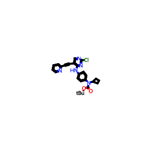 CC(C)(C)OC(=O)N(c1ccc(Nc2nc(Cl)ncc2C#Cc2ccccn2)cc1)C1CCC1